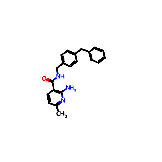 Cc1ccc(C(=O)NCc2ccc(Cc3ccccc3)cc2)c(N)n1